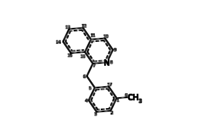 Cc1cccc(Cc2nccc3ccccc23)c1